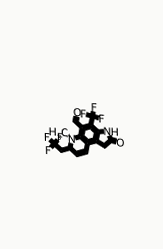 CN1c2c(c3c(c(C(F)(F)F)c2C=O)NC(=O)C3)C=CC1CC(F)(F)F